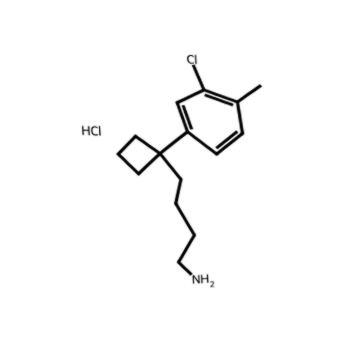 Cc1ccc(C2(CCCCN)CCC2)cc1Cl.Cl